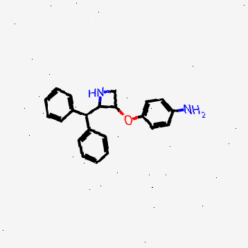 Nc1ccc(OC2CNC2C(c2ccccc2)c2ccccc2)cc1